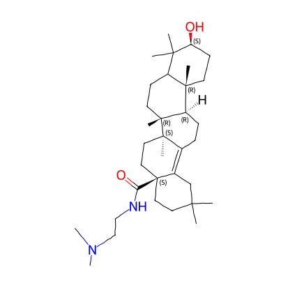 CN(C)CCNC(=O)[C@]12CCC(C)(C)CC1=C1CC[C@@H]3[C@@]4(C)CC[C@H](O)C(C)(C)C4CC[C@@]3(C)[C@]1(C)CC2